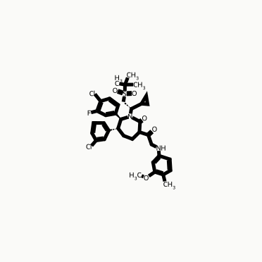 COc1cc(NCC(=O)C2CC[C@H](c3cccc(Cl)c3)[C@@H](c3ccc(Cl)c(F)c3)N([C@H](CS(=O)(=O)C(C)(C)C)C3CC3)C2=O)ccc1C